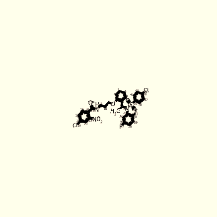 CC(c1ccccc1OCCCNC(=O)c1ccc(Cl)cc1[N+](=O)[O-])N(c1cc(F)ccc1F)S(=O)(=O)c1ccc(Cl)cc1